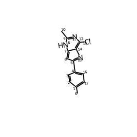 Cc1ccc(-c2cc3[nH]c(C)nc(Cl)c-3n2)cc1